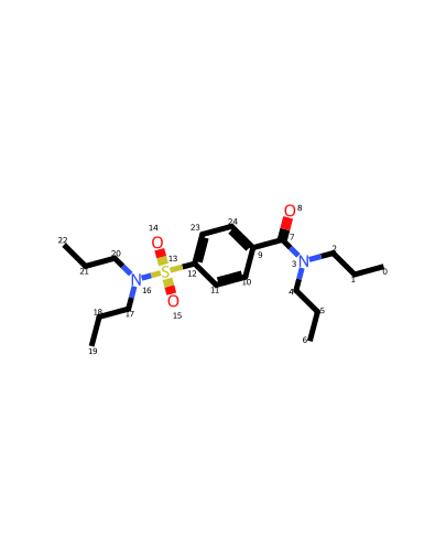 CCCN(CCC)C(=O)c1ccc(S(=O)(=O)N(CCC)CCC)cc1